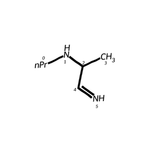 CCCNC(C)C=N